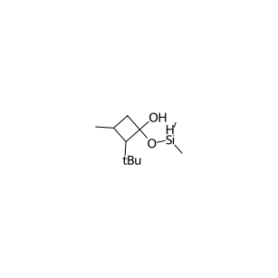 CC1CC(O)(O[SiH](C)C)C1C(C)(C)C